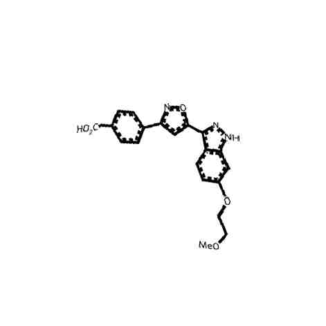 COCCOc1ccc2c(-c3cc(-c4ccc(C(=O)O)cc4)no3)n[nH]c2c1